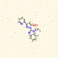 Cn1c(-n2nc(-c3ccccn3)cc2O)nc2ccccc21